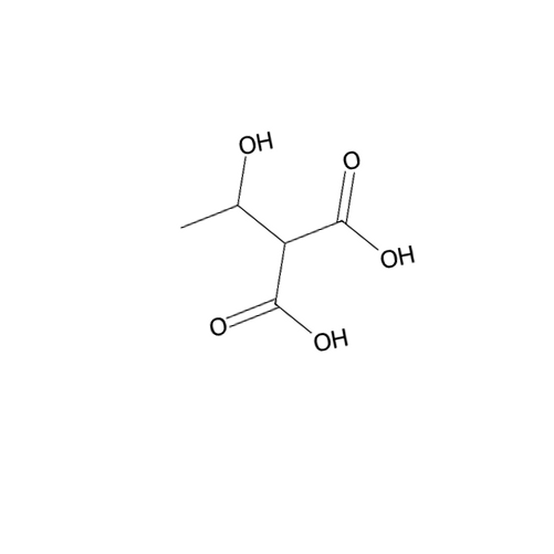 CC(O)C(C(=O)O)C(=O)O